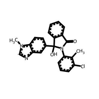 Cc1c(Cl)cccc1N1C(=O)c2ccccc2C1(O)c1ccc2c(c1)n[c]n2C